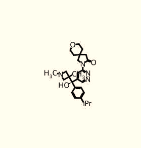 CC(C)c1ccc([C@](O)(c2cnnc(N3CC4(CCOCC4)CC3=O)c2)C2(C)CN(C)C2)cc1